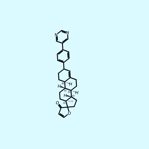 C[C@]12CC[C@H]3[C@@H](CCC4=CC(c5ccc(-c6cncnc6)cc5)CC[C@@H]43)[C@@H]1CCC21OC=CC1=O